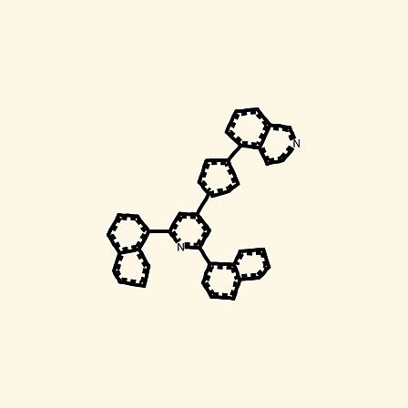 c1cc(-c2ccc(-c3cc(-c4cccc5ccccc45)nc(-c4cccc5ccccc45)c3)cc2)c2ccncc2c1